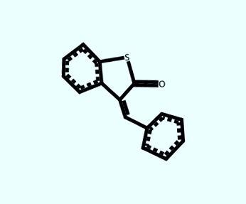 O=C1Sc2ccccc2C1=Cc1ccccc1